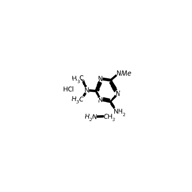 CN.CNc1nc(N)nc(N(C)C)n1.Cl